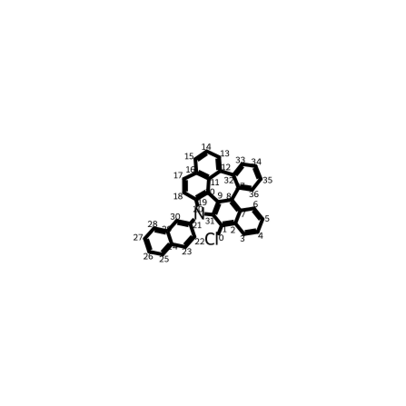 Clc1c2ccccc2c2c3c4c5c(cccc5ccc4n(-c4ccc5ccccc5c4)c13)-c1ccccc1-2